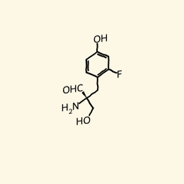 N[C@@](C=O)(CO)Cc1ccc(O)cc1F